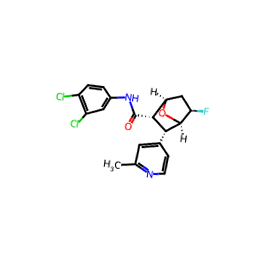 Cc1cc([C@H]2[C@H]3O[C@H](C[C@H]3F)[C@H]2C(=O)Nc2ccc(Cl)c(Cl)c2)ccn1